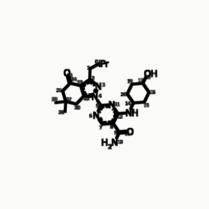 CC(C)Cc1nn(-c2ncc(C(N)=O)c(NC3CCC(O)CC3)n2)c2c1C(=O)CC(C)(C)C2